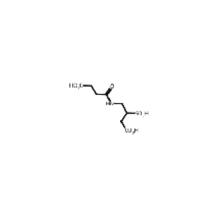 O=C(O)CCC(=O)NCC(CC(=O)O)S(=O)(=O)O